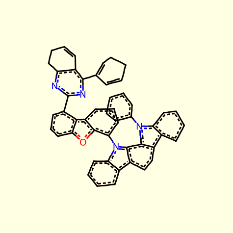 C1=CC(c2nc(-c3cccc4oc5c(-n6c7ccccc7c7ccc8c9ccccc9n(-c9ccccc9)c8c76)cccc5c34)nc3c2C=CCC3)=CCC1